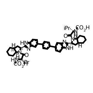 CC(C)[C@H](NC(=O)O)C(=O)N1[C@H](c2nc3cc(-c4ccc(-c5ccc6[nH]c([C@@H]7C[C@@H]8CCCC[C@@H]8N7C(=O)[C@@H](NC(=O)O)C(C)C)nc6c5)cc4)ccc3[nH]2)C[C@@H]2CCCC[C@@H]21